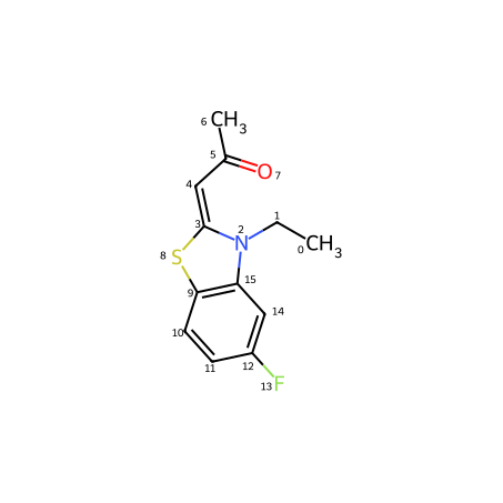 CCN1C(=CC(C)=O)Sc2ccc(F)cc21